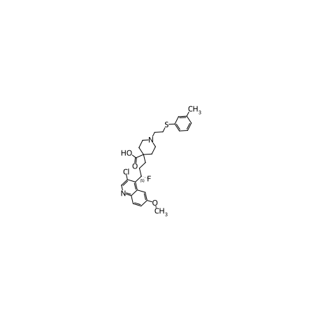 COc1ccc2ncc(Cl)c([C@@H](F)CCC3(C(=O)O)CCN(CCSc4cccc(C)c4)CC3)c2c1